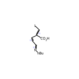 CCCC/N=C/C=C\C(=C/I)C(=O)O